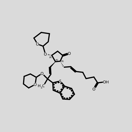 CC(C=C[C@H]1[C@H](OC2CCCCO2)CC(=O)[C@@H]1CC=CCCCC(=O)O)(OC1CCCCO1)c1cc2ccccc2s1